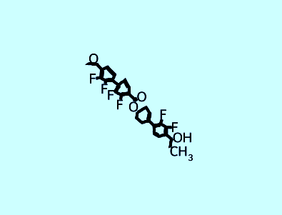 CCC(O)c1ccc(C2=CCC(OC(=O)c3ccc(-c4ccc(C5CO5)c(F)c4F)c(F)c3F)CC2)c(F)c1F